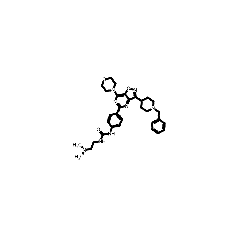 CN(C)CCNC(=O)Nc1ccc(-c2nc(N3CCOCC3)c3onc(C4CCN(Cc5ccccc5)CC4)c3n2)cc1